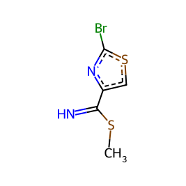 CSC(=N)c1csc(Br)n1